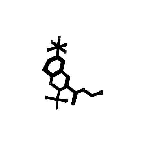 O=C(OCCl)C1=Cc2cc(S(F)(F)(F)(F)F)ccc2O[C@@H]1C(F)(F)F